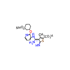 CO[C@@H]1CCCC(Oc2ncccc2N/C(N)=C2/C(=N)SC(C(=O)O)=C2C)C1